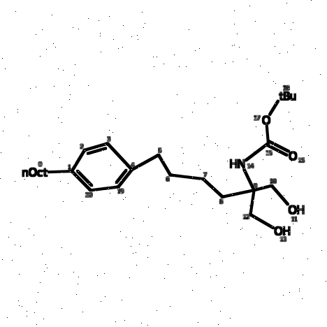 CCCCCCCCc1ccc(CCCCC(CO)(CO)NC(=O)OC(C)(C)C)cc1